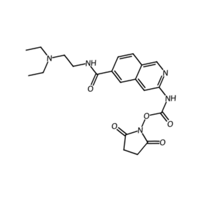 CCN(CC)CCNC(=O)c1ccc2cnc(NC(=O)ON3C(=O)CCC3=O)cc2c1